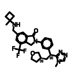 Cn1cnnc1[C@@H](C[C@H]1CCOC1)c1cccc(N2Cc3c(cc(CNC4(C)CCC4)cc3C(F)(F)F)C2=O)c1